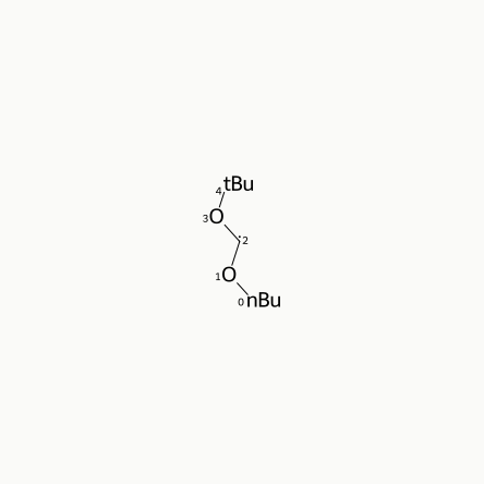 CCCCO[CH]OC(C)(C)C